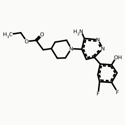 CCOC(=O)CC1CCN(c2cc(-c3cc(F)c(F)cc3O)nnc2N)CC1